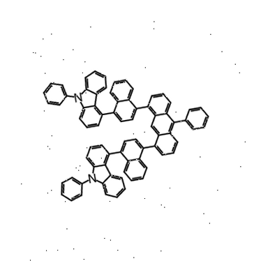 c1ccc(-c2c3cccc(-c4ccc(-c5cccc6c5c5ccccc5n6-c5ccccc5)c5ccccc45)c3cc3c(-c4ccc(-c5cccc6c5c5ccccc5n6-c5ccccc5)c5ccccc45)cccc23)cc1